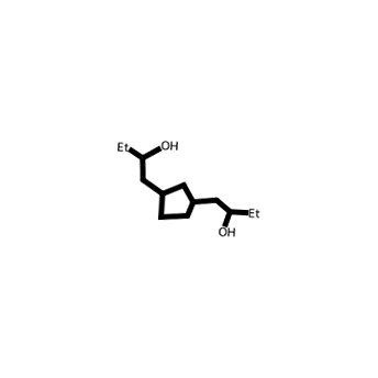 CCC(O)CC1CCC(CC(O)CC)C1